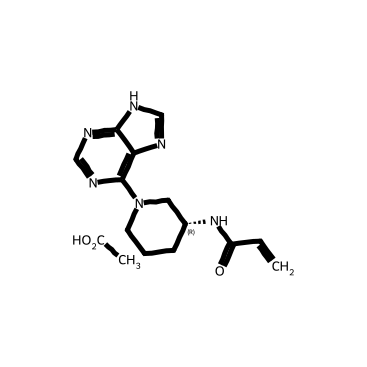 C=CC(=O)N[C@@H]1CCCN(c2ncnc3[nH]cnc23)C1.CC(=O)O